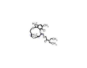 CCN(CC)C(=O)CO/N=C1\C=C(/C)CC/C=C/CCOC(=O)c2c(C)cc(C)c(Cl)c2C1